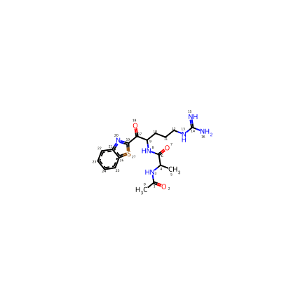 CC(=O)NC(C)C(=O)NC(CCCNC(=N)N)C(=O)c1nc2ccccc2s1